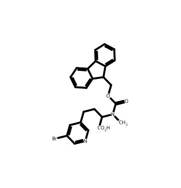 CN(C(=O)OCC1c2ccccc2-c2ccccc21)C(CCc1cncc(Br)c1)C(=O)O